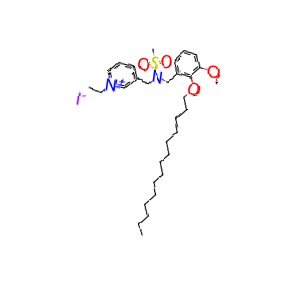 CCCCCCCCCCCCCCOc1c(CN(Cc2ccc[n+](CC)c2)S(C)(=O)=O)cccc1OC.[I-]